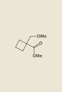 COCC1(C(=O)OC)CCC1